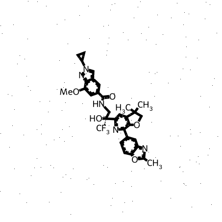 COc1cc(C(=O)NC[C@](O)(c2cc3c(c(-c4ccc5oc(C)nc5c4)n2)OCC3(C)C)C(F)(F)F)cc2cn(C3CC3)nc12